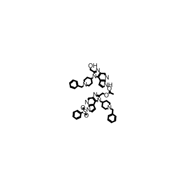 CC(=O)OCc1nc2cnc3c(ccn3S(=O)(=O)c3ccccc3)c2n1C1CCN(Cc2ccccc2)CC1.OCc1nc2cnc3[nH]ccc3c2n1C1CCN(Cc2ccccc2)CC1